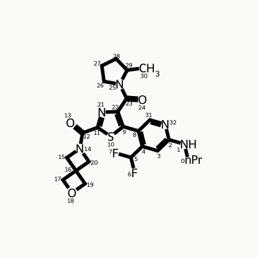 CCCNc1cc(C(F)F)c(-c2sc(C(=O)N3CC4(COC4)C3)nc2C(=O)N2CCCC2C)cn1